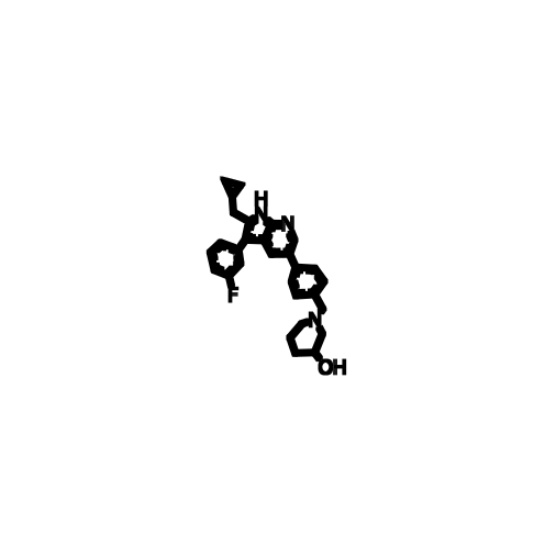 OC1CCCN(Cc2ccc(-c3cnc4[nH]c(CC5CC5)c(-c5cccc(F)c5)c4c3)cc2)C1